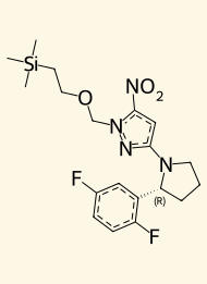 C[Si](C)(C)CCOCn1nc(N2CCC[C@@H]2c2cc(F)ccc2F)cc1[N+](=O)[O-]